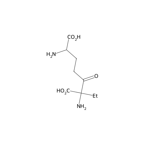 CCC(N)(C(=O)O)C(=O)CCC(N)C(=O)O